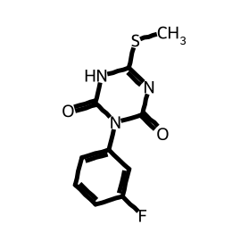 CSc1nc(=O)n(-c2cccc(F)c2)c(=O)[nH]1